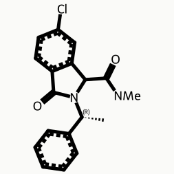 CNC(=O)C1c2cc(Cl)ccc2C(=O)N1[C@H](C)c1ccccc1